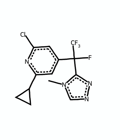 Cn1cnnc1C(F)(c1cc(Cl)nc(C2CC2)c1)C(F)(F)F